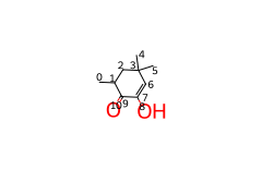 CC1CC(C)(C)C=C(O)C1=O